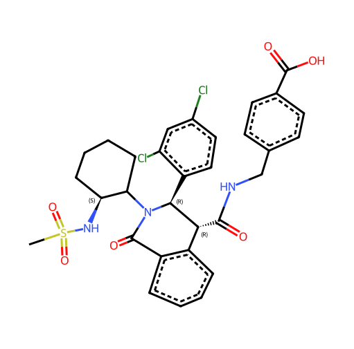 CS(=O)(=O)N[C@H]1CCCCC1N1C(=O)c2ccccc2[C@@H](C(=O)NCc2ccc(C(=O)O)cc2)[C@@H]1c1ccc(Cl)cc1Cl